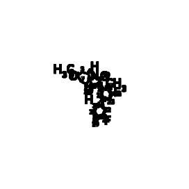 COC1CCC2(CC1)NC(=O)C(c1cc(-c3ccc(F)c(F)c3)cc(F)c1C)=C2O